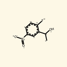 CC(O)c1cc([N+](=O)[O-])ccc1F